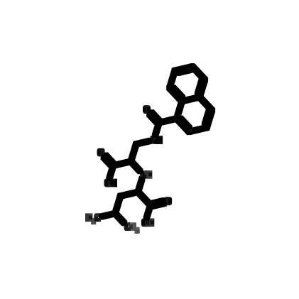 CC(C)CC(NC(CNC(=O)c1cccc2ccccc12)C(=O)O)C(=O)O